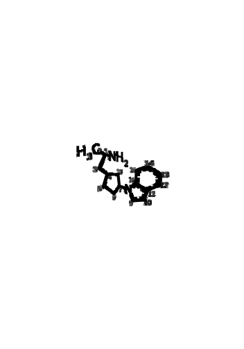 CC(N)CC1CCC(n2ccc3ccccc32)C1